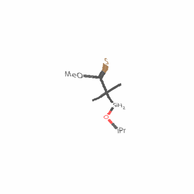 COC(=S)C(C)(C)[SiH2]OC(C)C